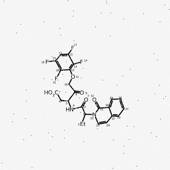 CCC(C(=O)N[C@@H](CC(=O)O)C(=O)COc1c(F)c(F)cc(F)c1F)n1ccc2ccccc2c1=O